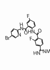 CNC(=N)c1ccc(C(=O)Nc2ccc(F)cc2C(=O)Nc2ccc(Br)cn2)c(F)c1